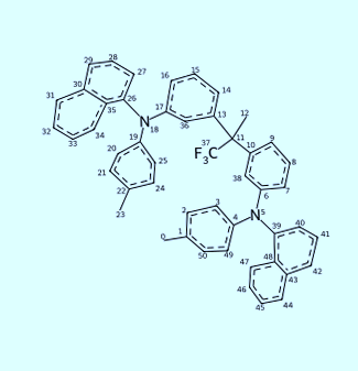 Cc1ccc(N(c2cccc(C(C)(c3cccc(N(c4ccc(C)cc4)c4cccc5ccccc45)c3)C(F)(F)F)c2)c2cccc3ccccc23)cc1